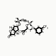 CC(C)(C)[Si](C)(C)O[C@H](COc1cccc(C(F)(F)F)c1)C1O[C@@H]1[C@@H]1[C@H]2CC(=O)O[C@H]2C[C@H]1O[Si](C)(C)C(C)(C)C